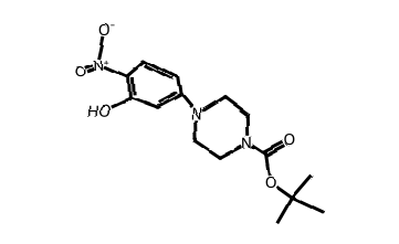 CC(C)(C)OC(=O)N1CCN(c2ccc([N+](=O)[O-])c(O)c2)CC1